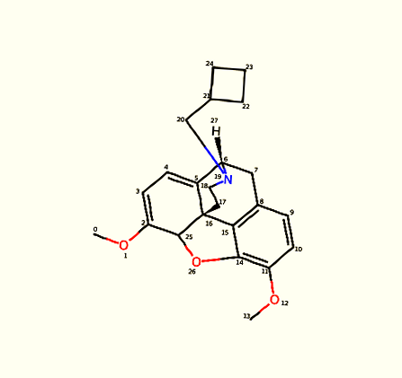 COC1=CC=C2[C@@H]3Cc4ccc(OC)c5c4[C@]2(CCN3CC2CCC2)C1O5